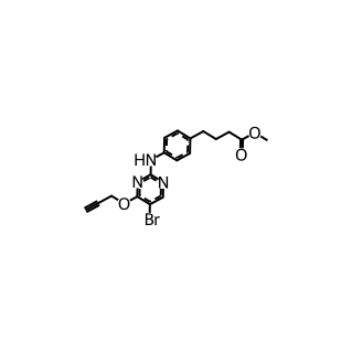 C#CCOc1nc(Nc2ccc(CCCC(=O)OC)cc2)ncc1Br